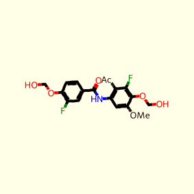 COc1cc(NC(=O)c2ccc(OCO)c(F)c2)c(C(C)=O)c(F)c1OCO